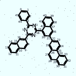 c1ccc(-c2nc(-c3ccc4ccccc4c3)nc(-c3cc(-c4ccc5c(ccc6ccccc65)c4)cc4ccccc34)n2)cc1